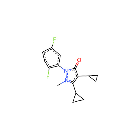 Cn1c(C2CC2)c(C2CC2)c(=O)n1-c1cc(F)ccc1F